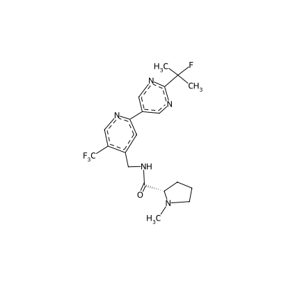 CN1CCC[C@H]1C(=O)NCc1cc(-c2cnc(C(C)(C)F)nc2)ncc1C(F)(F)F